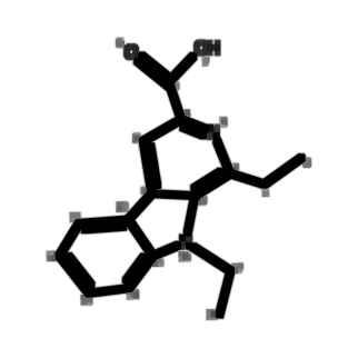 CCc1nc(C(=O)O)cc2c3ccccc3n(CC)c12